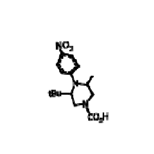 CC1CN(C(=O)O)CC(C(C)(C)C)N1c1ccc([N+](=O)[O-])cc1